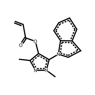 C=CC(=O)Oc1c(C)nn(C)c1-n1ccc2ccccc21